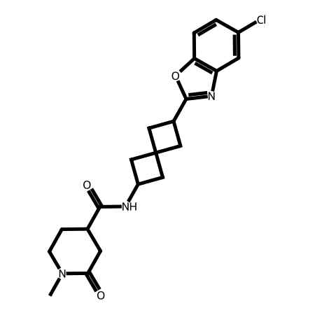 CN1CCC(C(=O)NC2CC3(C2)CC(c2nc4cc(Cl)ccc4o2)C3)CC1=O